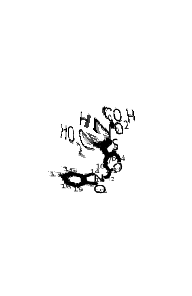 O=C(O)C(=O)Nc1sc2c(c1C(=O)O)CC(CN1Cc3ccccc3C1=O)OC2